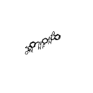 CN(C)c1ccccc1CN[C@@H]1CC[C@@H](NCc2ccc3c(c2)n(C)c(=O)n3C)[C@@H](F)C1